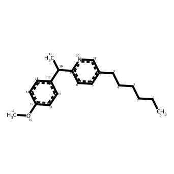 CCCCCCc1ccc(C(C)c2ccc(OC)cc2)nc1